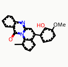 COc1cccc(-c2cc3nc4ccccc4c(=O)n3c3c(C)cccc23)c1O